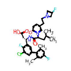 Cc1cc(F)cc(C)c1-c1cc(Cl)c(F)c([C@H](CC(=O)O)NC(=O)C(CC(C)C)n2cc(CCN3CC(F)C3)ccc2=O)c1